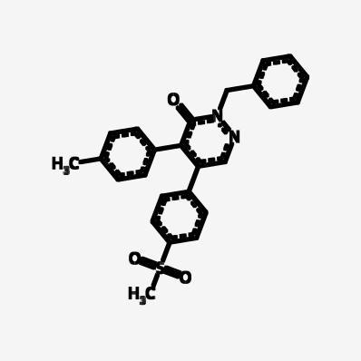 Cc1ccc(-c2c(-c3ccc(S(C)(=O)=O)cc3)cnn(Cc3ccccc3)c2=O)cc1